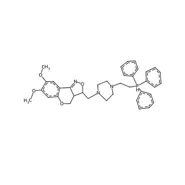 COc1cc2c(cc1OC)C1=NOC(CN3CCN(CC[PH](c4ccccc4)(c4ccccc4)c4ccccc4)CC3)C1CO2